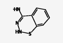 [NH]C1=NNSc2ccccc21